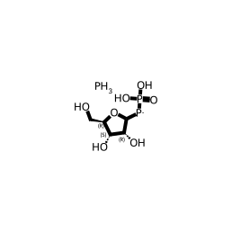 O=P(O)(O)[P]C1O[C@H](CO)[C@@H](O)[C@H]1O.P